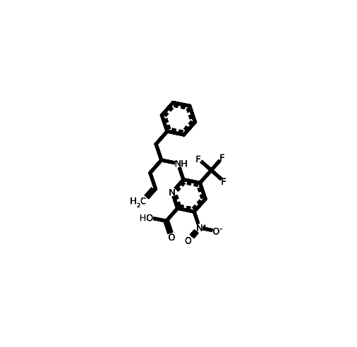 C=CCC(Cc1ccccc1)Nc1nc(C(=O)O)c([N+](=O)[O-])cc1C(F)(F)F